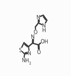 Nc1nc(C(=NOCc2ncc[nH]2)C(=O)O)cs1